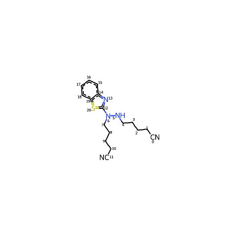 N#CCCCCNN(CCCCC#N)c1nc2ccccc2s1